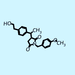 COc1ccc(CN2C(=O)CC(C(C)c3ccc(CCO)cc3)C2=O)cc1